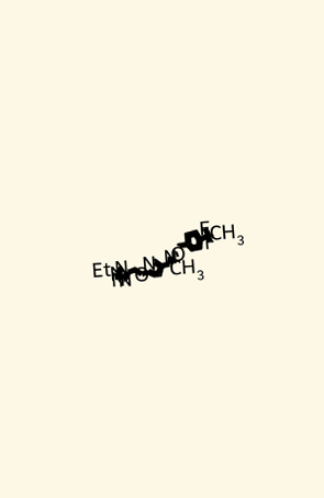 CCn1nnc(COc2ccc(C(C)=NOCc3ccc(C(C)(F)F)cc3)cn2)n1